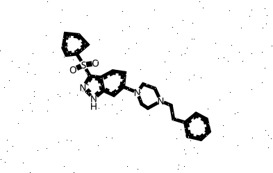 O=S(=O)(c1ccccc1)c1n[nH]c2cc(N3CCN(CCc4ccccc4)CC3)ccc12